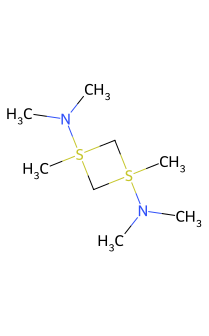 CN(C)S1(C)CS(C)(N(C)C)C1